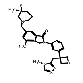 Cn1cnnc1CC1(c2cccc(N3Cc4c(cc(CN5CCC[C@@](C)(F)C5)cc4C(F)(F)F)C3=O)c2)COC1